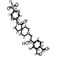 Cc1c([C@@H](O)CN2CCC3(CC2)CCN(c2cnc(S(C)(=O)=O)cn2)C3=O)ccc2c1COC2=O